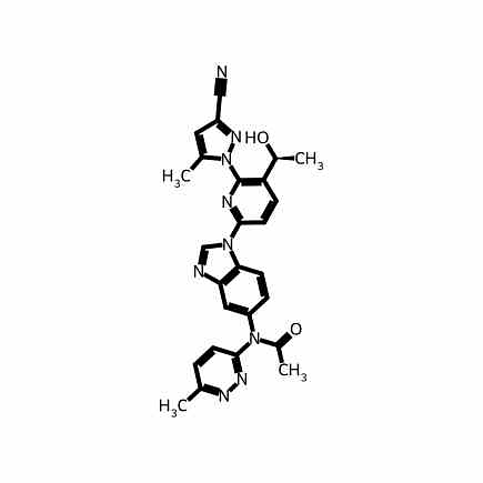 CC(=O)N(c1ccc2c(c1)ncn2-c1ccc([C@H](C)O)c(-n2nc(C#N)cc2C)n1)c1ccc(C)nn1